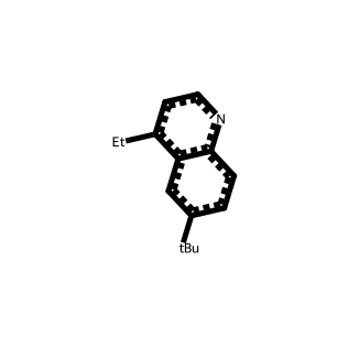 CCc1ccnc2ccc(C(C)(C)C)cc12